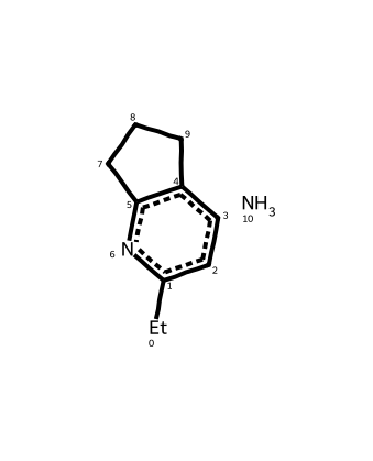 CCc1ccc2c(n1)CCC2.N